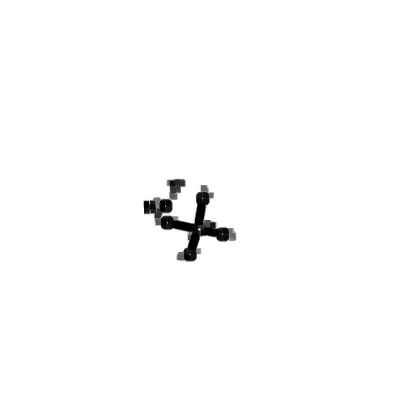 O.[O-][Cl+3]([O-])([O-])[O-].[Tl+]